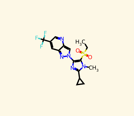 CCS(=O)(=O)c1c(-n2cc3ncc(C(F)(F)F)cc3n2)nc(C2CC2)n1C